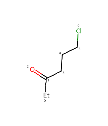 CCC(=O)CCCCl